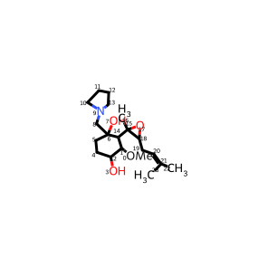 COC1C(O)CCC(O)(CN2CCCC2)C1C1(C)OC1CC=C(C)C